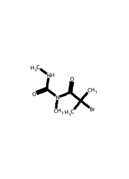 CNC(=O)N(C)C(=O)C(C)(C)Br